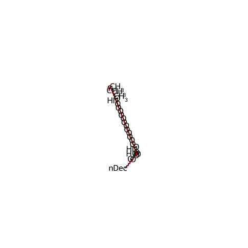 C=C1CCCC(C)=C1/C=C/C(C)=C/C=C/C(C)=C/C(=O)NCCOCCOCCOCCOCCOCCOCCOCCOCCOCCOCCOCCOCCC(=O)NCCOP(=O)(O)OCCCOC(=O)CCCCCCCCCCCCCCCCC